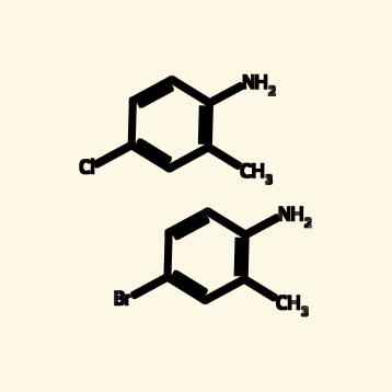 Cc1cc(Br)ccc1N.Cc1cc(Cl)ccc1N